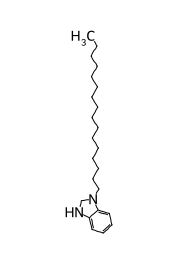 CCCCCCCCCCCCCCCCN1CNc2ccccc21